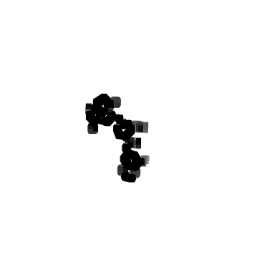 Cl.O=c1cnc2ccc(=O)n3c2n1C[C@H]3CN1CCC(NCc2cc(F)c3c(c2)OCCO3)CC1